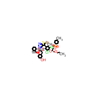 C=CCOC[C@H](COS(=O)(=O)c1ccc(C)cc1)Oc1c(Cl)c(C)c(-c2c(Br)sc3ncnc(OC(Cc4cc(O)ccc4OCc4ccccc4)C(=O)OC(C)(C)C)c23)c(C)c1Cl